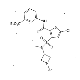 CCOC(=O)c1cccc(NC(=O)c2sc(Cl)cc2S(=O)(=O)N(C)C2CN(C(C)=O)C2)c1